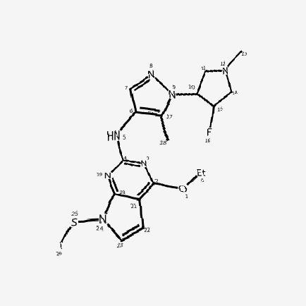 CCOc1nc(Nc2cnn(C3CN(C)CC3F)c2C)nc2c1ccn2SI